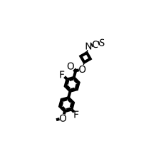 COc1ccc(-c2ccc(C(=O)O[C@H]3C[C@@H](N=C=S)C3)c(F)c2)cc1F